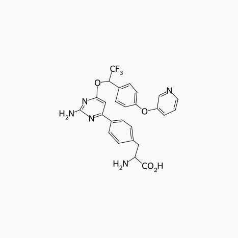 Nc1nc(OC(c2ccc(Oc3cccnc3)cc2)C(F)(F)F)cc(-c2ccc(CC(N)C(=O)O)cc2)n1